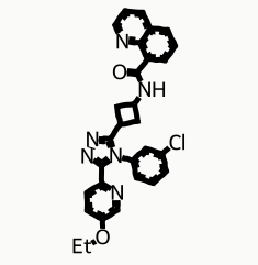 CCOc1ccc(-c2nnc(C3CC(NC(=O)c4cccc5cccnc45)C3)n2-c2cccc(Cl)c2)nc1